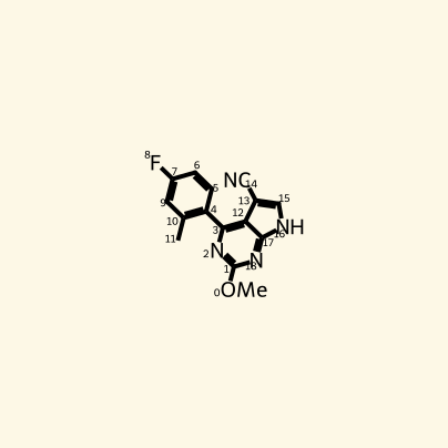 COc1nc(-c2ccc(F)cc2C)c2c(C#N)c[nH]c2n1